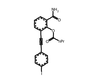 CCCC(=O)Oc1c(C#Cc2ccc(I)cc2)cccc1C(N)=O